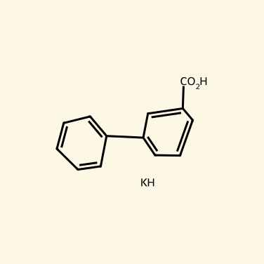 O=C(O)c1cccc(-c2ccccc2)c1.[KH]